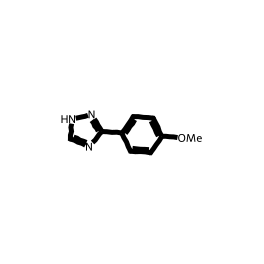 [CH2]Oc1ccc(-c2nc[nH]n2)cc1